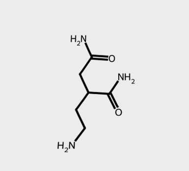 NCCC(CC(N)=O)C(N)=O